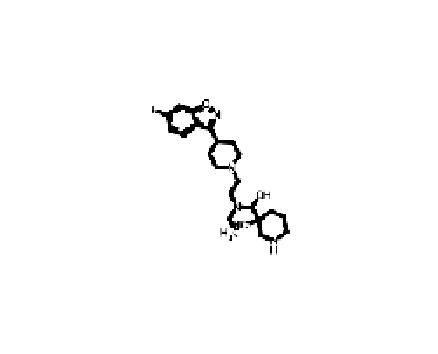 CCN(CCN1CCC(c2noc3cc(F)ccc23)CC1)C(O)C1(O)CCCNC1